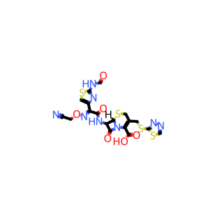 N#CCON=C(C(=O)NC1C(=O)N2C(C(=O)O)=C(CSc3nncs3)CS[C@@H]12)c1csc(NC=O)n1